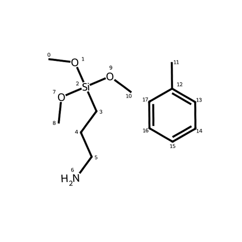 CO[Si](CCCN)(OC)OC.Cc1ccccc1